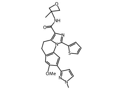 COc1cc2c(cc1-c1ccn(C)n1)-n1c(-c3cccs3)nc(C(=O)NC3(C)COC3)c1CC2